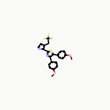 COc1ccc(-c2nc(-c3[nH]ccc3CC(F)(F)F)sc2-c2ccc(OC)cc2)cc1